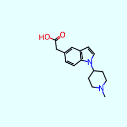 CN1CCC(n2ccc3cc(CC(=O)O)ccc32)CC1